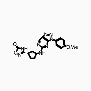 COc1ccc(-n2nnc3cnc(NC4CC[C@H](c5noc(=O)[nH]5)C4)nc32)cc1